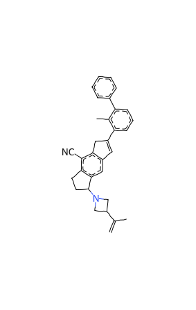 C=C(C)C1CN(C2CCc3c2cc2c(c3C#N)CC(c3cccc(-c4ccccc4)c3C)=C2)C1